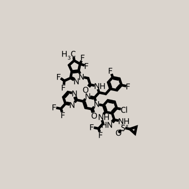 CC1Cc2c(C(F)F)nn(CC(=O)NC(Cc3cc(F)cc(F)c3)c3nc(-c4nccc(C(F)F)n4)cc(=O)n3-c3ccc(Cl)c(C(=N)N[S+]([O-])C4CC4)c3NCC(F)F)c2C1(F)F